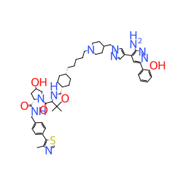 Cc1ncsc1-c1ccc(CNC(=O)[C@@H]2C[C@@H](O)CN2C(=O)[C@@H](NC(=O)[C@H]2CC[C@@H](CCCCCN3CCC(Cn4cc(-c5cc(-c6ccccc6O)nnc5N)cn4)CC3)CC2)C(C)(C)C)cc1